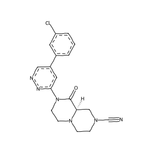 N#CN1CCN2CCN(c3cc(-c4cccc(Cl)c4)cnn3)C(=O)[C@H]2C1